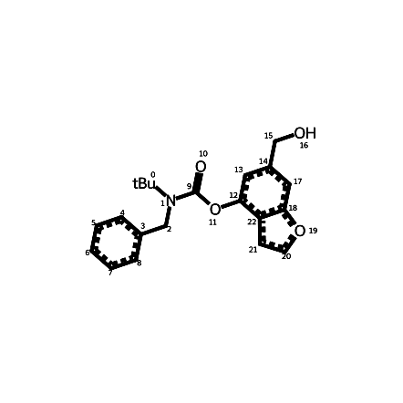 CC(C)(C)N(Cc1ccccc1)C(=O)Oc1cc(CO)cc2occc12